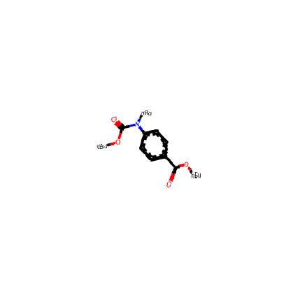 CCCCOC(=O)c1ccc(N(CCCC)C(=O)OC(C)(C)C)cc1